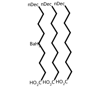 CCCCCCCCCCCCCCCCCC(=O)O.CCCCCCCCCCCCCCCCCC(=O)O.CCCCCCCCCCCCCCCCCC(=O)O.[BaH2]